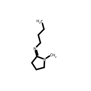 CCCCN=C1CCCN1C